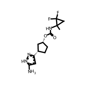 CC1(NC(=O)O[C@@H]2CC[C@H](c3cc(N)[nH]n3)C2)CC1(F)F